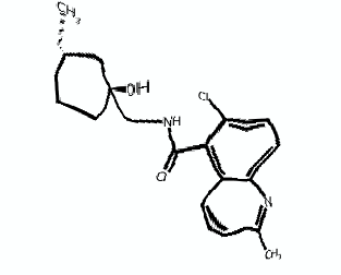 Cc1ccc2c(C(=O)NC[C@]3(O)CCC[C@H](C)C3)c(Cl)ccc2n1